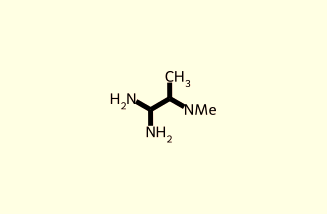 CNC(C)C(N)N